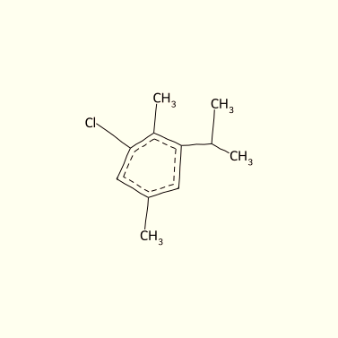 Cc1cc(Cl)c(C)c(C(C)C)c1